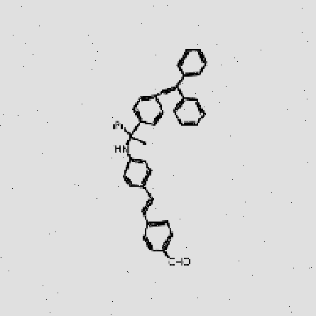 CCCC(C)(Nc1ccc(/C=C/c2ccc(C=O)cc2)cc1)c1ccc(C=C(c2ccccc2)c2ccccc2)cc1